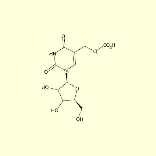 O=C(O)OCc1cn([C@H]2O[C@@H](CO)C(O)C2O)c(=O)[nH]c1=O